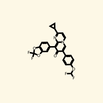 O=c1c(-c2ccc(OC(F)F)cc2)cn2ccc(C3CC3)nc2c1-c1ccc2c(c1)OC(F)(F)O2